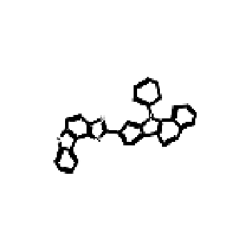 C1=CCCC(n2c3cc(-c4nc5ccc6sc7ccccc7c6c5s4)ccc3c3ccc4ccccc4c32)=C1